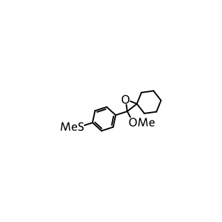 COC1(c2ccc(SC)cc2)OC12CCCCC2